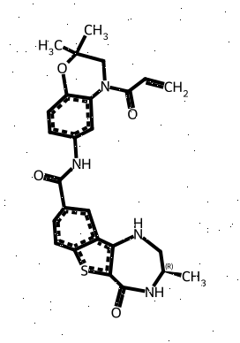 C=CC(=O)N1CC(C)(C)Oc2ccc(NC(=O)c3ccc4sc5c(c4c3)NC[C@@H](C)NC5=O)cc21